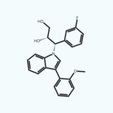 COc1ccccc1-c1cn([C@@H](c2cccc(F)c2)[C@H](O)CO)c2ccccc12